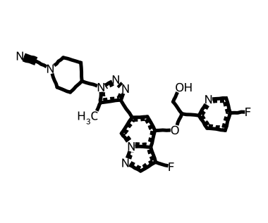 Cc1c(-c2cc(OC(CO)c3ccc(F)cn3)c3c(F)cnn3c2)nnn1C1CCN(C#N)CC1